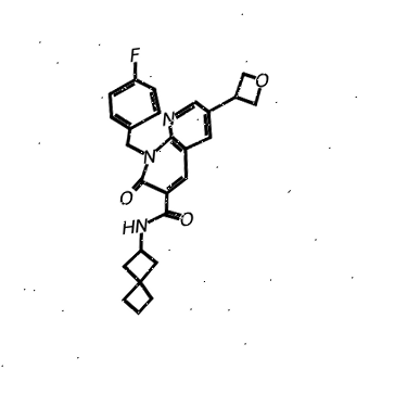 O=C(NC1CC2(CCC2)C1)c1cc2cc(C3COC3)cnc2n(Cc2ccc(F)cc2)c1=O